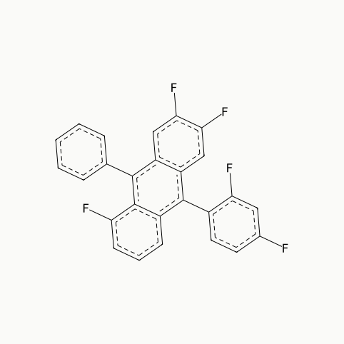 Fc1ccc(-c2c3cc(F)c(F)cc3c(-c3ccccc3)c3c(F)cccc23)c(F)c1